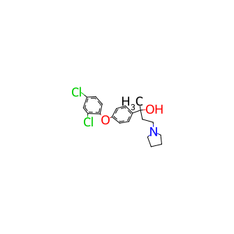 CC(O)(CCN1CCCC1)c1ccc(Oc2ccc(Cl)cc2Cl)cc1